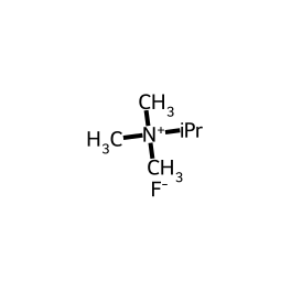 CC(C)[N+](C)(C)C.[F-]